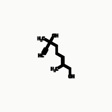 C#CC(C)(O)CC/C=C(\C)CO